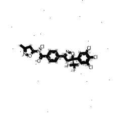 CC1=NOC(N(Cl)C(=O)c2ccc(C3=NO[C@@](c4cc(Cl)c(Cl)c(Cl)c4)(C(F)(F)F)C3)cc2)C1